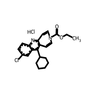 CCOC(=O)N1C=Cc2nc3ccc(Cl)cc3c(C3CCCCC3)c2C=C1.Cl